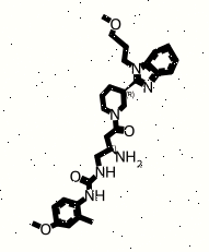 COCCCn1c([C@@H]2CCCN(C(=O)C[C@H](N)CNC(=O)Nc3ccc(OC)cc3C)C2)nc2ccccc21